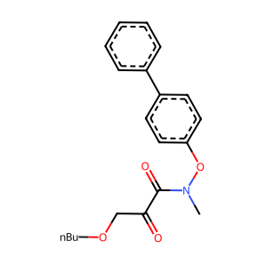 CCCCOCC(=O)C(=O)N(C)Oc1ccc(-c2ccccc2)cc1